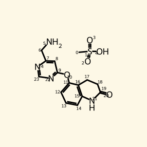 CS(=O)(=O)O.NCc1cc(Oc2cccc3c2CCC(=O)N3)ncn1